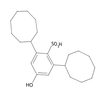 O=S(=O)(O)c1c(C2CCCCCCC2)cc(O)cc1C1CCCCCCC1